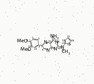 COc1ccc(-c2cnc3nc(N(C)c4cccs4)nc(N)c3n2)cc1OC